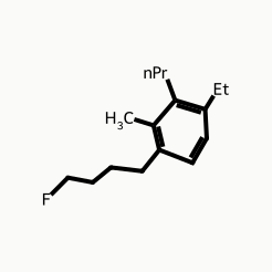 CCCc1c(CC)ccc(CCCCF)c1C